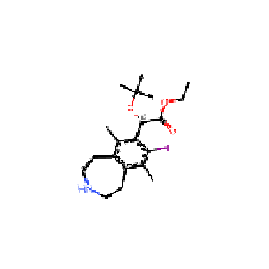 CCOC(=O)[C@@H](OC(C)(C)C)c1c(C)c2c(c(C)c1I)CCNCC2